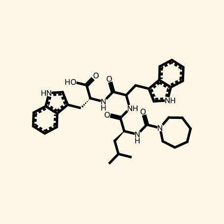 CC(C)C[C@H](NC(=O)N1CCCCCC1)C(=O)NC(Cc1c[nH]c2ccccc12)C(=O)N[C@H](Cc1c[nH]c2ccccc12)C(=O)O